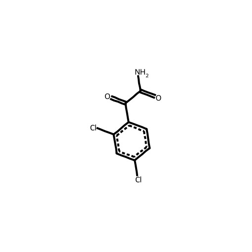 NC(=O)C(=O)c1ccc(Cl)cc1Cl